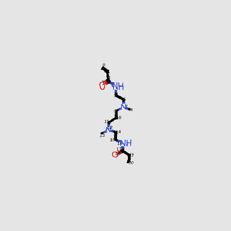 C=CC(=O)NCCN(C)CCCN(C)CCNC(=O)C=C